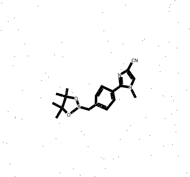 Cn1cc(C#N)nc1-c1ccc(CB2OC(C)(C)C(C)(C)O2)cc1